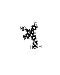 N#CCNC(=O)[C@@H]1CC(F)(F)CC[C@H]1c1nn(-c2ccc(F)cc2)cc1-c1ccc(N2CCS(O)(O)CC2)cc1